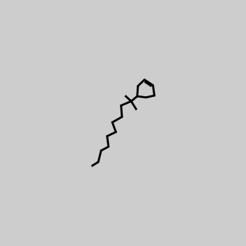 CCCCCCCCCC(C)(C)C1CC=CCC1